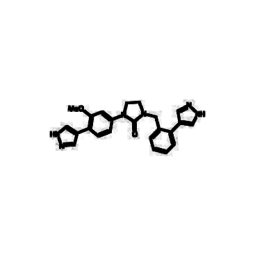 COc1cc(N2CCN(Cc3ccccc3-c3cn[nH]c3)C2=O)ccc1-c1cn[nH]c1